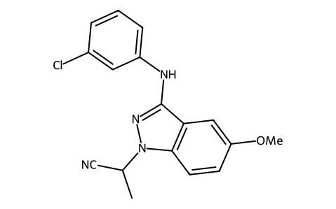 COc1ccc2c(c1)c(Nc1cccc(Cl)c1)nn2C(C)C#N